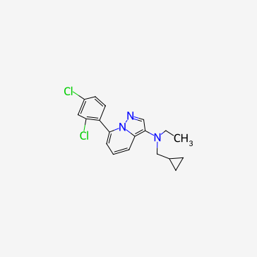 CCN(CC1CC1)c1cnn2c(-c3ccc(Cl)cc3Cl)cccc12